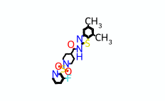 Cc1cc(C)c2sc(NC(=O)C3CCN(S(=O)(=O)c4ncccc4F)CC3)nc2c1